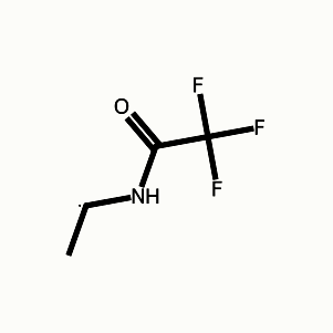 C[CH]NC(=O)C(F)(F)F